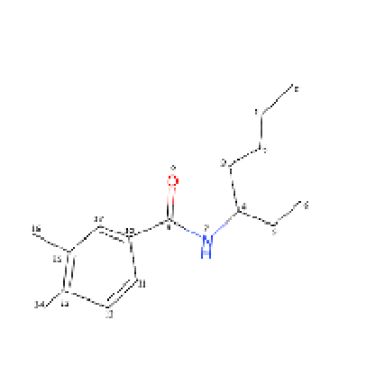 CCCCC(CC)NC(=O)c1ccc(C)c(C)c1